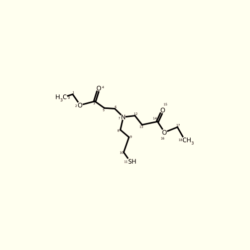 CCOC(=O)CCN(CCCS)CCC(=O)OCC